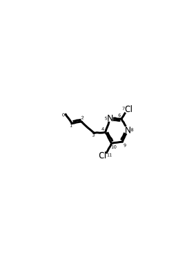 CC=CCc1nc(Cl)ncc1Cl